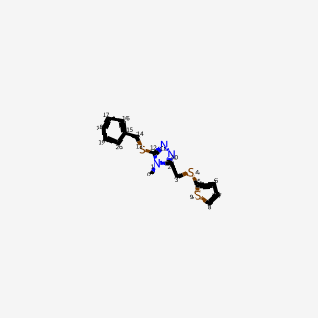 Cn1c(CSc2cccs2)nnc1SCc1ccccc1